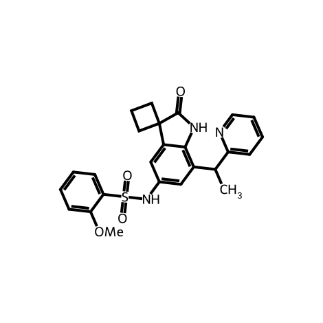 COc1ccccc1S(=O)(=O)Nc1cc(C(C)c2ccccn2)c2c(c1)C1(CCC1)C(=O)N2